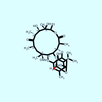 CCC1OC(=O)C(C)[C@H](OC2CC3(OC)OC3C(C)O2)C(C)[C@@H](OC2OC(C)CC(N(C)C)C2O)[C@@](C)(OC)C[C@@H](C)C(=O)[C@H](C)[C@@H](O)[C@]1(C)O